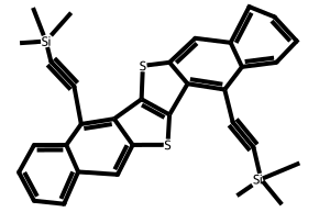 C[Si](C)(C)C#Cc1c2ccccc2cc2sc3c(sc4cc5ccccc5c(C#C[Si](C)(C)C)c43)c12